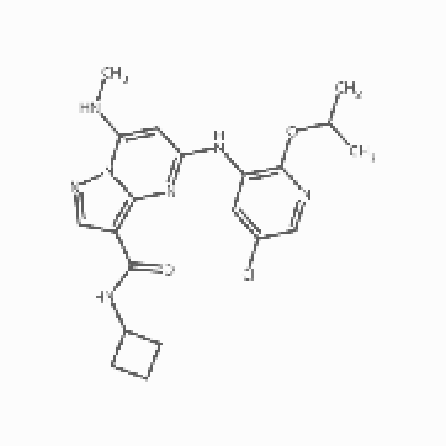 CNc1cc(Nc2cc(Cl)cnc2OC(C)C)nc2c(C(=O)NC3CCC3)cnn12